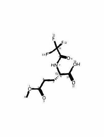 COC(=O)CC[C@H](NC(=O)C(F)(F)F)C(=O)O